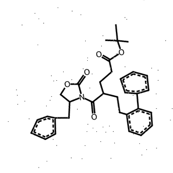 CC(C)(C)OC(=O)CCC(CCc1ccccc1-c1ccccc1)C(=O)N1C(=O)OCC1Cc1ccccc1